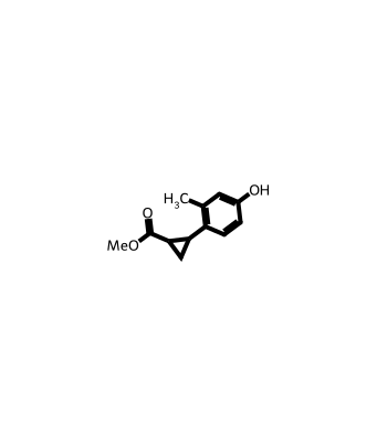 COC(=O)C1CC1c1ccc(O)cc1C